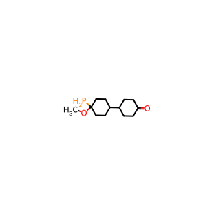 COC1(P)CCC(C2CCC(=O)CC2)CC1